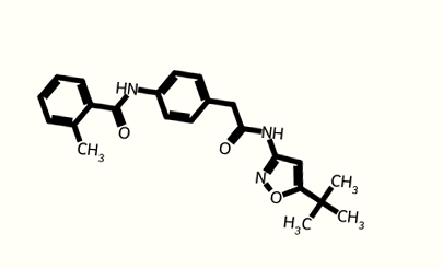 Cc1ccccc1C(=O)Nc1ccc(CC(=O)Nc2cc(C(C)(C)C)on2)cc1